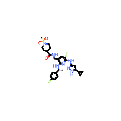 C[C@H](Nc1nc(Nc2cc(C3CC3)[nH]n2)c(F)cc1CNC(=O)C1CCN(S(C)(=O)=O)CC1)c1ccc(F)cc1